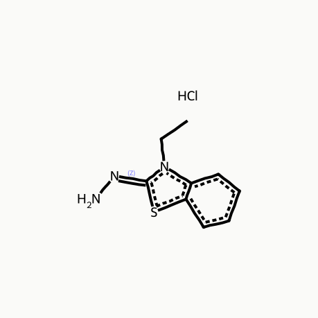 CCn1/c(=N/N)sc2ccccc21.Cl